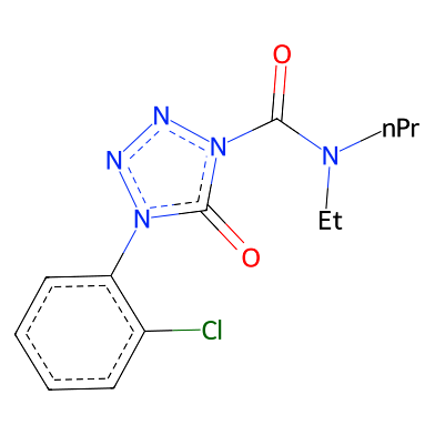 CCCN(CC)C(=O)n1nnn(-c2ccccc2Cl)c1=O